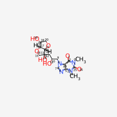 Cn1c(=O)c2c(ncn2CC(O)C[C@]2(O)CO[C@@H]3[C@H](O)CO[C@@H]32)n(C)c1=O